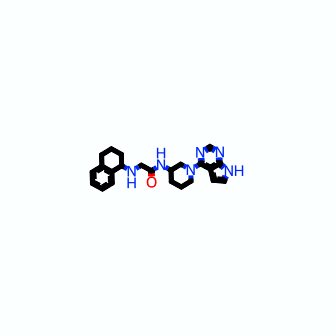 O=C(CNC1CCCc2ccccc21)NC1CCCN(c2ncnc3[nH]ccc23)C1